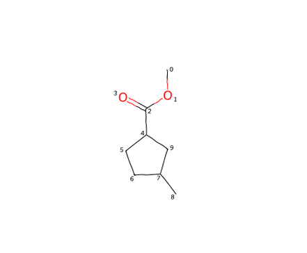 COC(=O)C1CCC(C)C1